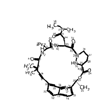 CC(C)[C@@H]1NC(=O)C(C)(C)/C=C/c2ccc3ccc(nc3c2)[C@@H](C)OC(=O)[C@@H]2CCCN(N2)C(=O)[C@H](CC(=O)N(C)C)NC1=O